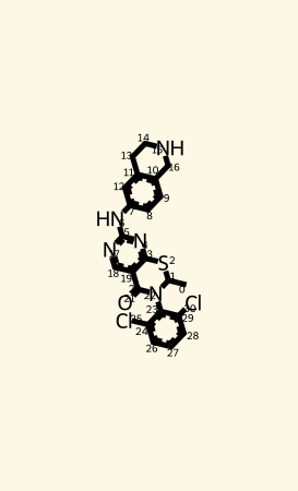 CC1Sc2nc(Nc3ccc4c(c3)CCNC4)ncc2C(=O)N1c1c(Cl)cccc1Cl